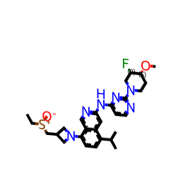 CC[S+]([O-])CC1CN(c2ccc(C(C)C)c3cc(Nc4ccnc(N5CC[C@H](OC)[C@H](F)C5)n4)ncc23)C1